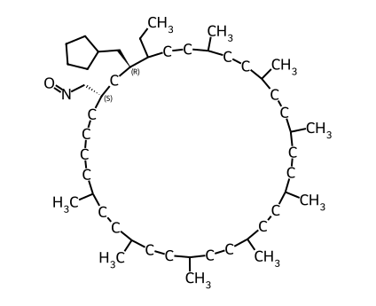 CCC1CCC(C)CCC(C)CCC(C)CCC(C)CCC(C)CCC(C)CCC(C)CCC(C)CCCC[C@H](CN=O)C[C@H]1CC1CCCC1